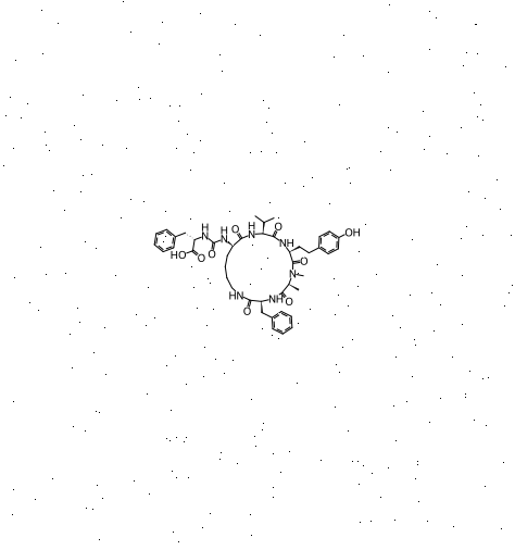 CC(C)[C@@H]1NC(=O)[C@H](NC(=O)N[C@@H](Cc2ccccc2)C(=O)O)CCCCNC(=O)[C@H](Cc2ccccc2)NC(=O)[C@H](C)N(C)C(=O)[C@H](CCc2ccc(O)cc2)NC1=O